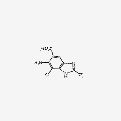 Nc1c(C(=O)O)cc2nc(C(F)(F)F)[nH]c2c1Cl